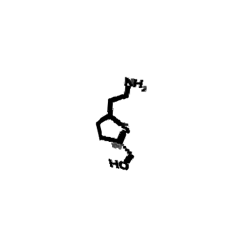 NCCC1CC[C@@H](CO)S1